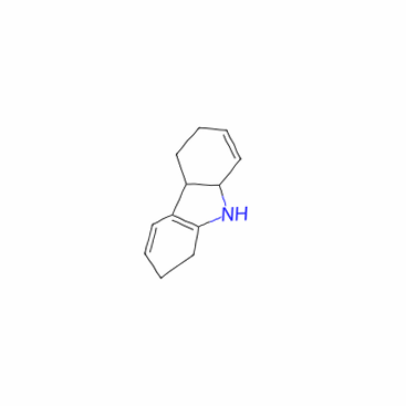 C1=CC2=C(CC1)NC1C=CCCC21